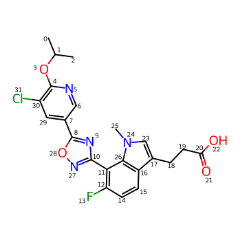 CC(C)Oc1ncc(-c2nc(-c3c(F)ccc4c(CCC(=O)O)cn(C)c34)no2)cc1Cl